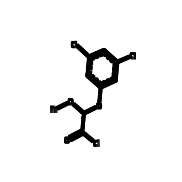 CCOC(Oc1cc(Cl)cc(Cl)c1)C(=O)Cl